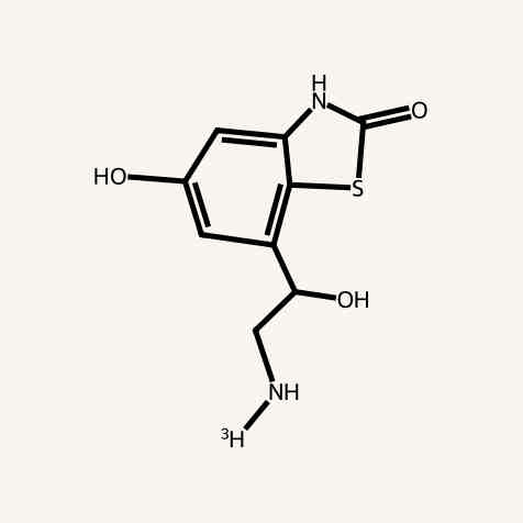 [3H]NCC(O)c1cc(O)cc2[nH]c(=O)sc12